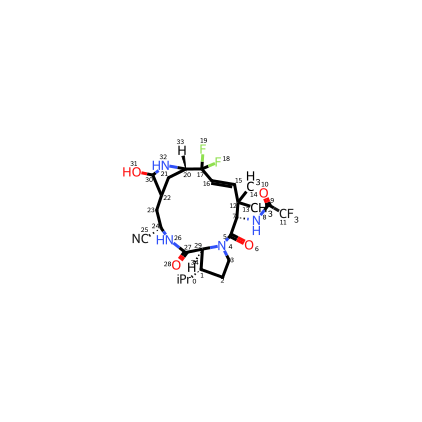 CC(C)[C@H]1CCN2C(=O)[C@@H](NC(=O)C(F)(F)F)C(C)(C)/C=C/C(F)(F)[C@@H]3CC(C[C@@H](C#N)NC(=O)[C@H]12)C(O)N3